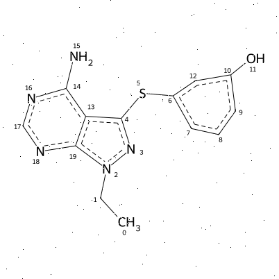 CCn1nc(Sc2cccc(O)c2)c2c(N)ncnc21